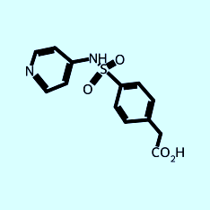 O=C(O)Cc1ccc(S(=O)(=O)Nc2ccncc2)cc1